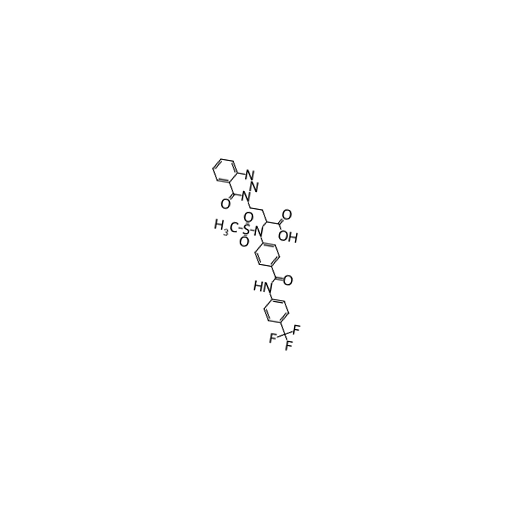 CS(=O)(=O)N(c1ccc(C(=O)Nc2ccc(C(F)(F)F)cc2)cc1)C(CCn1nnc2ccccc2c1=O)C(=O)O